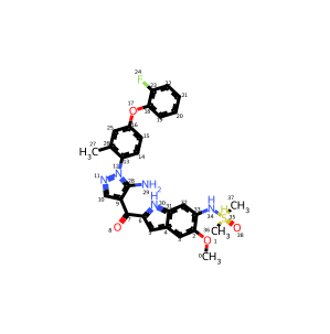 COc1cc2cc(C(=O)c3cnn(-c4ccc(Oc5ccccc5F)cc4C)c3N)[nH]c2cc1N[SH](C)(C)=O